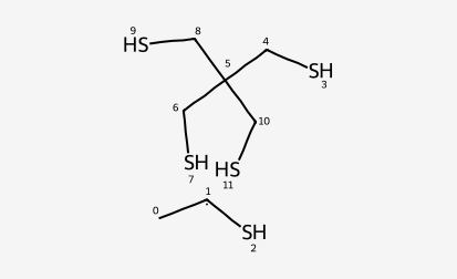 C[CH]S.SCC(CS)(CS)CS